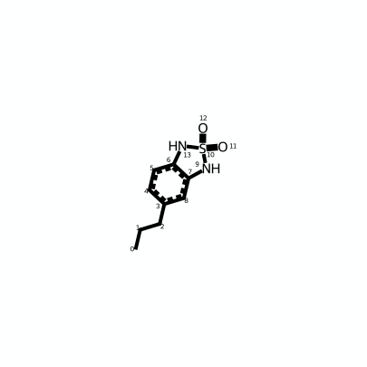 CCCc1ccc2c(c1)NS(=O)(=O)N2